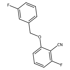 N#Cc1c(F)cccc1OCc1cccc(F)c1